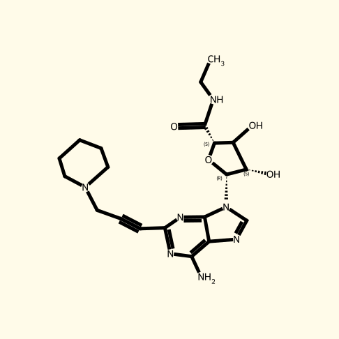 CCNC(=O)[C@H]1O[C@@H](n2cnc3c(N)nc(C#CCN4CCCCC4)nc32)[C@@H](O)C1O